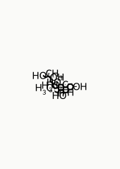 C[C@H](CO)[C@H](O)CC[C@@H](C)[C@H]1CC[C@H]2[C@@H]3[C@H](O)C[C@@H]4C[C@H](O)CC[C@]4(C)[C@H]3C[C@H](O)[C@]12C